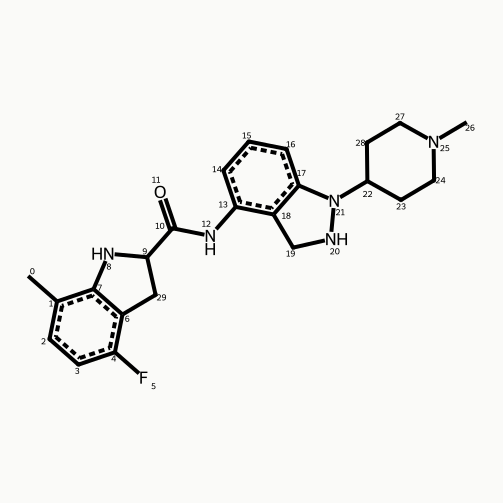 Cc1ccc(F)c2c1NC(C(=O)Nc1cccc3c1CNN3C1CCN(C)CC1)C2